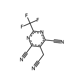 N#CCc1c(C#N)nc(C(F)(F)F)nc1C#N